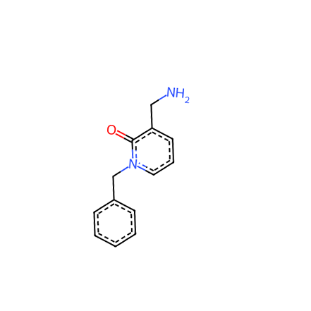 NCc1cccn(Cc2ccccc2)c1=O